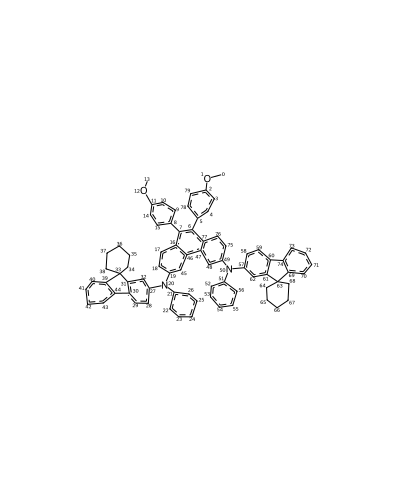 COc1ccc(-c2c(-c3ccc(OC)cc3)c3ccc(N(c4ccccc4)c4ccc5c(c4)C4(CCCCC4)c4ccccc4-5)cc3c3cc(N(c4ccccc4)c4ccc5c(c4)C4(CCCCC4)c4ccccc4-5)ccc23)cc1